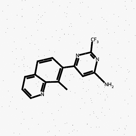 Cc1c(-c2cc(N)nc(C(F)(F)F)n2)ccc2cccnc12